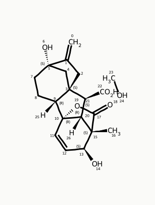 C=C1C[C@]23C[C@@]1(O)CC[C@H]2[C@@]12C=C[C@H](O)[C@@](C)(C(=O)O1)[C@H]2[C@@H]3C(=O)O.CO